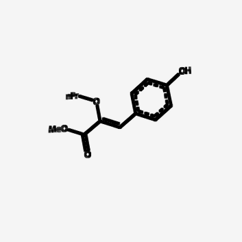 CCCOC(=Cc1ccc(O)cc1)C(=O)OC